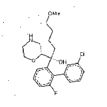 COCCCC[C@@](O)(c1cccc(F)c1-c1cccc(Cl)c1)[C@H]1CNCCO1